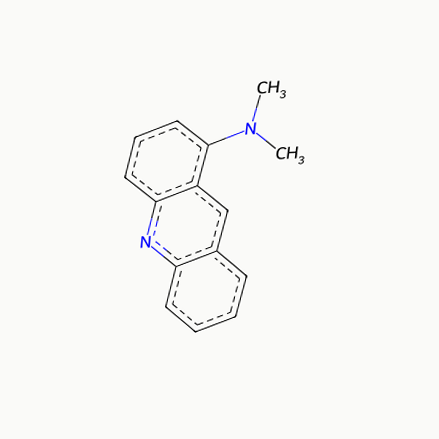 CN(C)c1cccc2nc3ccccc3cc12